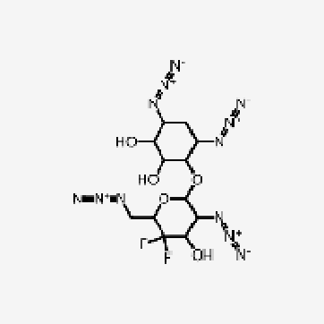 [N-]=[N+]=NCC1OC(OC2C(N=[N+]=[N-])CC(N=[N+]=[N-])C(O)C2O)C(N=[N+]=[N-])C(O)C1(F)F